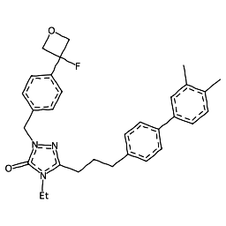 CCn1c(CCCc2ccc(-c3ccc(C)c(C)c3)cc2)nn(Cc2ccc(C3(F)COC3)cc2)c1=O